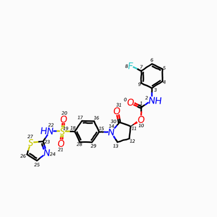 O=C(Nc1cccc(F)c1)O[C@H]1CCN(c2ccc(S(=O)(=O)Nc3nccs3)cc2)C1=O